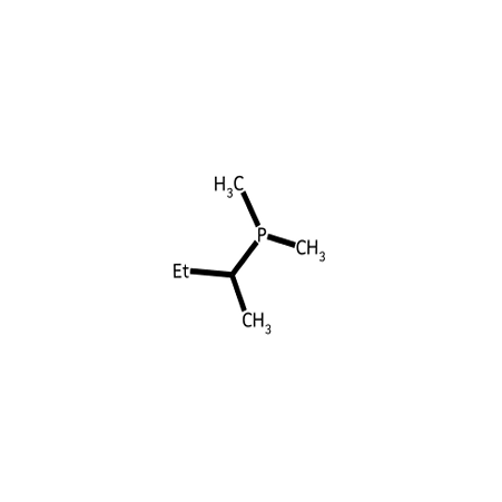 CCC(C)P(C)C